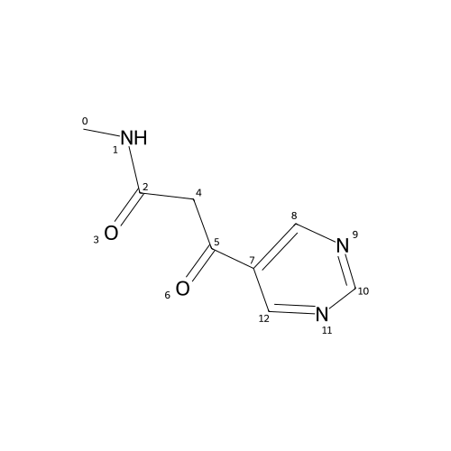 CNC(=O)CC(=O)c1cncnc1